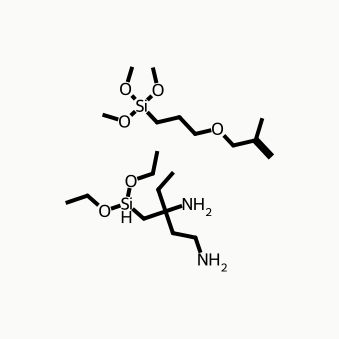 C=C(C)COCCC[Si](OC)(OC)OC.CCO[SiH](CC(N)(CC)CCN)OCC